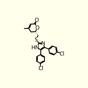 CC1=CC(=O)O[C@H](CSc2nc(-c3ccc(Cl)cc3)c(-c3ccc(Cl)cc3)[nH]2)C1